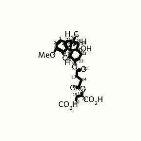 COc1ccc2c3c1O[C@@H]1C(OC(=O)CCC(=O)O[C@H](CC(=O)O)C(=O)O)=CC[C@]4(O)[C@H](C2)N(C)CC[C@@]314